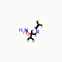 CC(C)=C/N=C\C(C)(ON)C(C)C